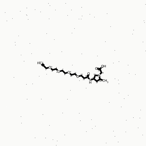 C#CCOCCOCCOCCOCCC(=O)NC1CC(C)N(CC(=O)O)C1